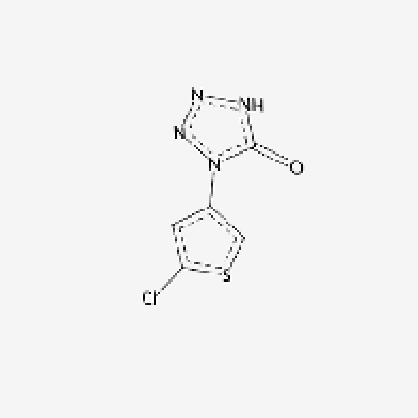 O=c1[nH]nnn1-c1csc(Cl)c1